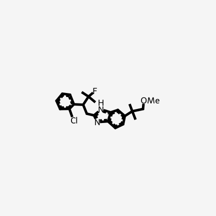 COCC(C)(C)c1ccc2nc(CC(c3ccccc3Cl)C(C)(C)F)[nH]c2c1